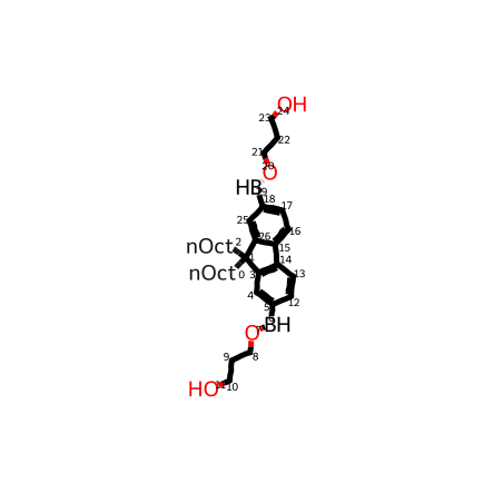 CCCCCCCCC1(CCCCCCCC)c2cc(BOCCCO)ccc2-c2ccc(BOCCCO)cc21